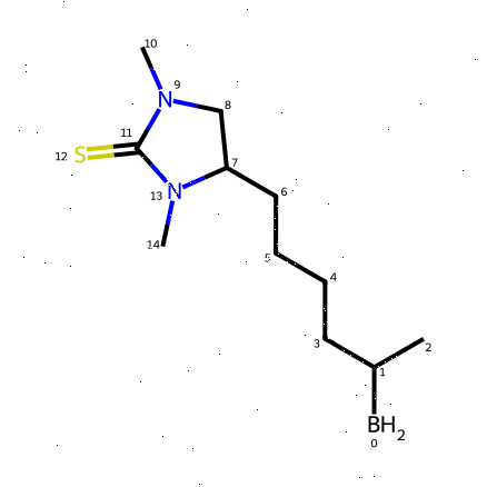 BC(C)CCCCC1CN(C)C(=S)N1C